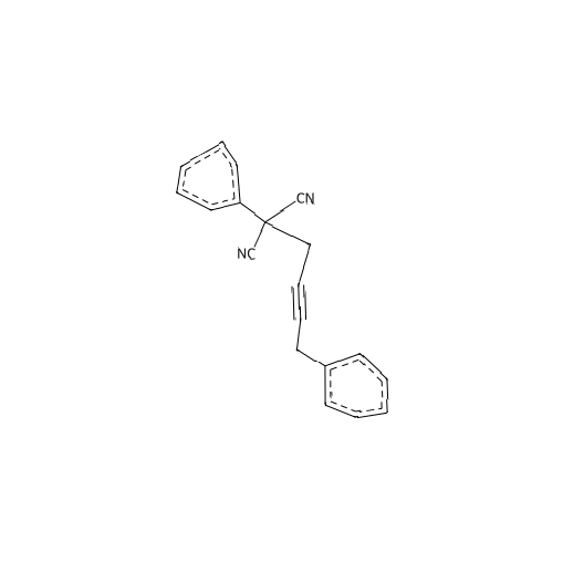 N#CC(C#N)(CC#CCc1ccccc1)c1ccccc1